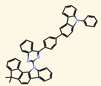 CC1(C)c2ccccc2-c2c1ccc1c3ccccc3n(-c3nc(-c4ccc(-c5ccc6c(c5)c5ccccc5n6-c5ccccc5)cc4)c4ccccc4n3)c21